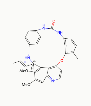 C/C=C/[C@@H]1Nc2ccc(cc2)NC(=O)Nc2ccc(C)c(c2)Oc2ccnc3cc(OC)c(OC)c1c23